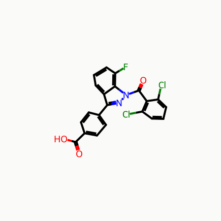 O=C(O)c1ccc(-c2nn(C(=O)c3c(Cl)cccc3Cl)c3c(F)cccc23)cc1